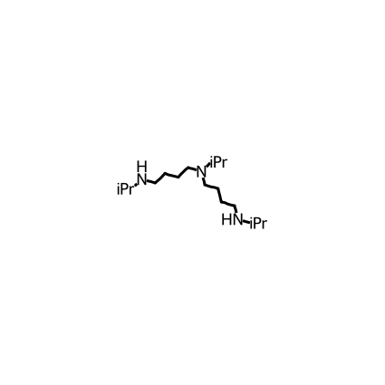 CC(C)NCCCCN(CCCCNC(C)C)C(C)C